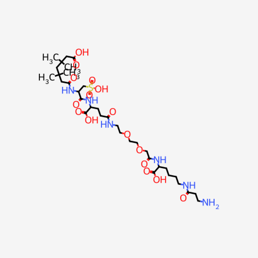 CC(C)(CC(=O)O)CC(C)(C)CC(=O)NC(CS(=O)(=O)O)C(=O)NC(CCC(=O)NCCOCCOCC(=O)NC(CCCCNC(=O)CCN)C(=O)O)C(=O)O